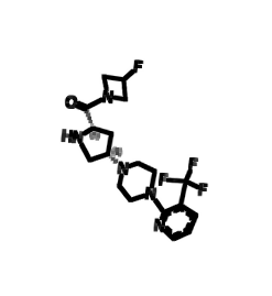 O=C([C@@H]1C[C@H](N2CCN(c3ncccc3C(F)(F)F)CC2)CN1)N1CC(F)C1